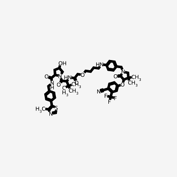 Cc1ncsc1-c1ccc(CNC(=O)C2CC(O)CN2C(=O)C(NC(=O)COCCCCNc2ccc(CN3CC(C)(C)C(Oc4ccc(C#N)c(C(F)(F)F)c4)C3=O)cc2)C(C)(C)C)cc1